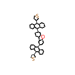 C1=C(c2c3ccccc3c(-c3ccc4oc5cc(-c6c7ccccc7c(-c7ccsc7)c7ccccc67)ccc5c4c3)c3ccccc23)CCS1